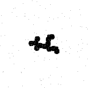 C1=CC(c2ccc3c(c2)c2cc(-c4ccc5oc6ccccc6c5c4)ccc2n3-c2cccc(-c3ccc4oc5ccccc5c4c3)c2)Cc2c1n(-c1cc(-c3ccccc3)cc(-c3ccccc3)c1)c1ccccc21